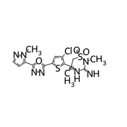 CN1C(=N)N[C@](C)(c2sc(-c3nnc(-c4ccnn4C)o3)cc2Cl)CS1(=O)=O